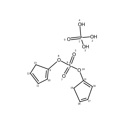 O=P(O)(O)O.O=S(=O)(OC1=CC=CC1)OC1=CC=CC1